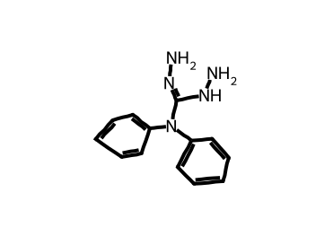 NN=C(NN)N(c1ccccc1)c1ccccc1